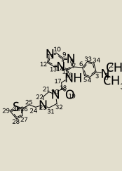 CN(C)c1ccc(-c2nc3cnccn3c2NCC(=O)N2CCN(CCc3cccs3)CC2)cc1